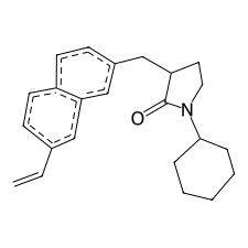 C=Cc1ccc2ccc(CC3CCN(C4CCCCC4)C3=O)cc2c1